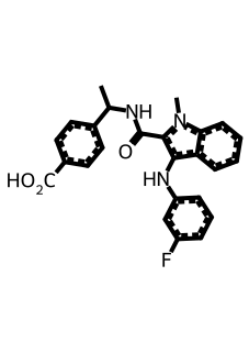 CC(NC(=O)c1c(Nc2cccc(F)c2)c2ccccc2n1C)c1ccc(C(=O)O)cc1